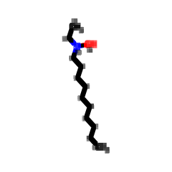 CCCCCCCCCCN(O)CC